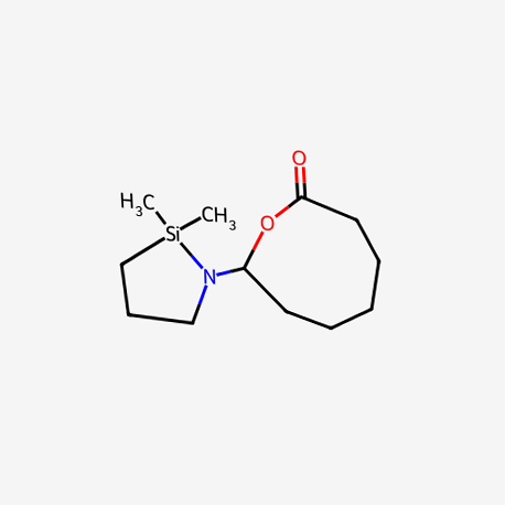 C[Si]1(C)CCCN1C1CCCCCC(=O)O1